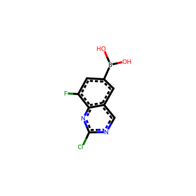 OB(O)c1cc(F)c2nc(Cl)ncc2c1